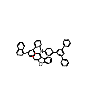 C1=c2ccccc2=C(c2cccc(-c3ccccc3N(c3ccc(-c4cc(-c5ccccc5)cc(-c5ccccc5)c4)cc3)c3cccc4oc5ccccc5c34)c2)CC1